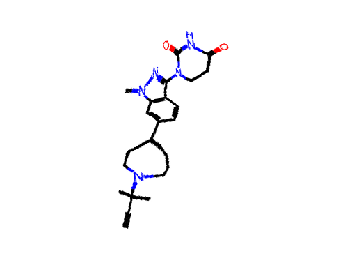 C#CC(C)(C)N1CCC(c2ccc3c(N4CCC(=O)NC4=O)nn(C)c3c2)CC1